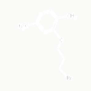 Cc1ccc(C)c(OCCCBr)c1